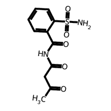 CC(=O)CC(=O)NC(=O)c1ccccc1S(N)(=O)=O